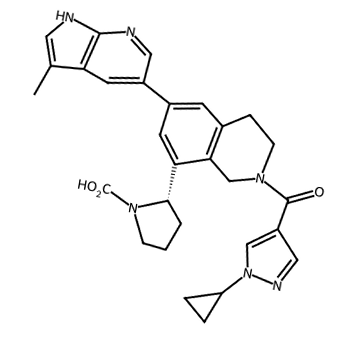 Cc1c[nH]c2ncc(-c3cc4c(c([C@@H]5CCCN5C(=O)O)c3)CN(C(=O)c3cnn(C5CC5)c3)CC4)cc12